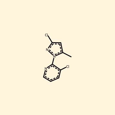 Cc1cc(Cl)nn1-c1ncccc1Cl